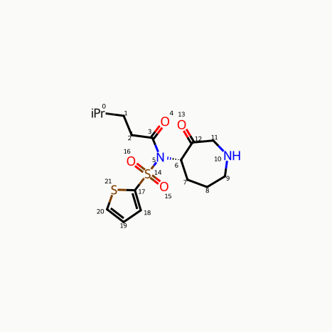 CC(C)C[CH]C(=O)N([C@H]1CCCNCC1=O)S(=O)(=O)c1cccs1